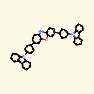 c1ccc2c(c1)c1ccccc1n2-c1ccc(-c2ccc3c(c2)Oc2cc(-c4ccc(-n5c6ccccc6c6ccccc65)cc4)ccc2N3)cc1